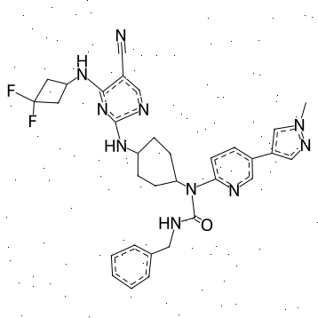 Cn1cc(-c2ccc(N(C(=O)NCc3ccccc3)C3CCC(Nc4ncc(C#N)c(NC5CC(F)(F)C5)n4)CC3)nc2)cn1